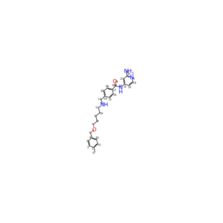 Cc1ccc(COCCCCCNCc2ccc(C(=O)Nc3ccnc(N)c3)cc2)cc1